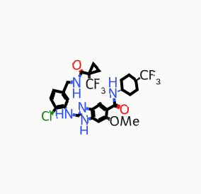 COc1cc2[nH]c(Nc3cc(CNC(=O)C4(C(F)(F)F)CC4)ccc3Cl)nc2cc1C(=O)N[C@H]1CC[C@H](C(F)(F)F)CC1